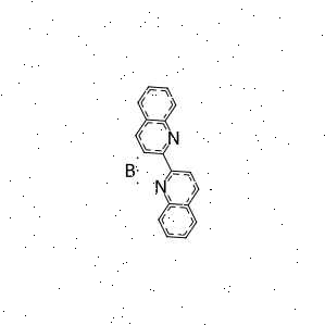 [B].c1ccc2nc(-c3ccc4ccccc4n3)ccc2c1